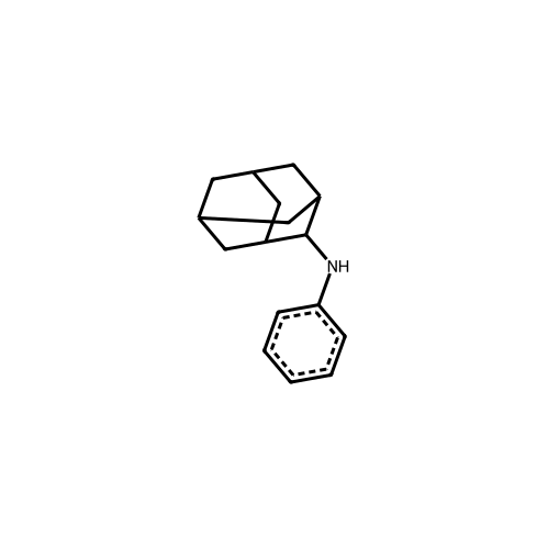 c1ccc(NC2C3CC4CC(C3)CC2C4)cc1